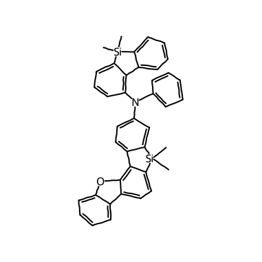 C[Si]1(C)c2ccccc2-c2c(N(c3ccccc3)c3ccc4c(c3)[Si](C)(C)c3ccc5c(oc6ccccc65)c3-4)cccc21